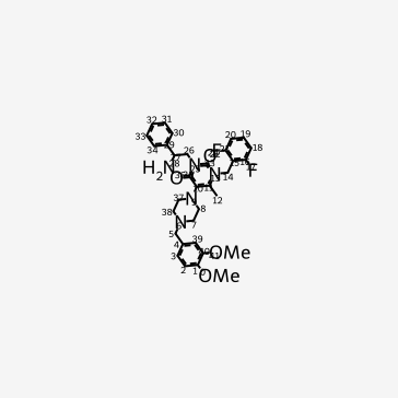 COc1ccc(CN2CCN(c3c(C)n(Cc4c(F)cccc4F)c(=O)n(CC(N)c4ccccc4)c3=O)CC2)cc1OC